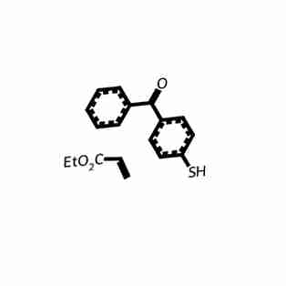 C=CC(=O)OCC.O=C(c1ccccc1)c1ccc(S)cc1